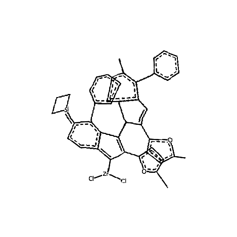 Cc1ccc(C2=Cc3c(ccc(C)c3-c3ccccc3)C2C2=C(c3ccc(C)o3)[C]([Zr]([Cl])[Cl])=c3ccc(=[Si]4CCC4)c(-c4ccccc4)c32)o1